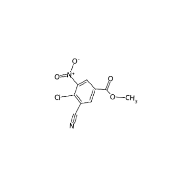 COC(=O)c1cc(C#N)c(Cl)c([N+](=O)[O-])c1